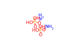 NOP(=O)(O)O.NOP(=O)(O)O